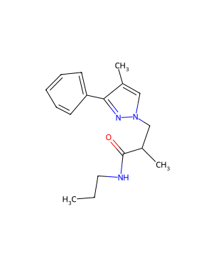 CCCNC(=O)C(C)Cn1cc(C)c(-c2ccccc2)n1